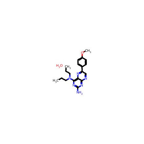 CCCN(CCC)c1nc(N)nc2ncc(-c3ccc(OC)cc3)nc12.O